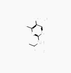 CCOC(=O)c1cnc(N[C@@H](C)C(=O)OCC)nc1Cl